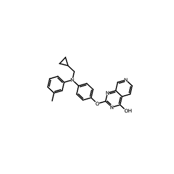 Cc1cccc(N(CC2CC2)c2ccc(Oc3nc(O)c4ccncc4n3)cc2)c1